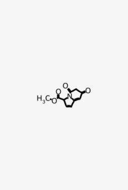 COC(=O)C1C=CC2=CC(=O)CC(=O)N21